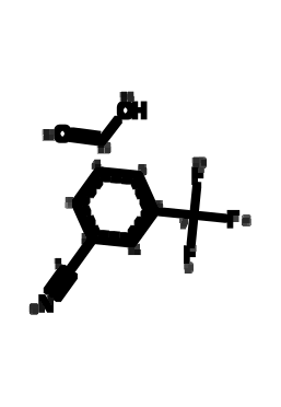 N#Cc1cccc(C(F)(F)F)c1.O=CO